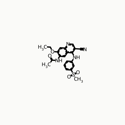 CCOc1cc2ncc(C#N)c(Nc3cccc(S(C)(=O)=O)c3)c2cc1NC(C)=O